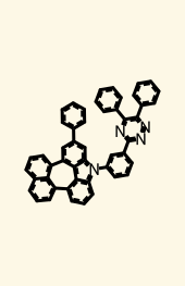 c1ccc(-c2cc3c4c5c(cccc5n(-c5cccc(-c6nnc(-c7ccccc7)c(-c7ccccc7)n6)c5)c4c2)-c2cccc4cccc-3c24)cc1